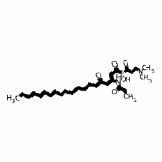 CCCCCCCCCCCCCCCC(=O)CC(CC(=O)P(O)C(=O)CCN(C)C)NC(=O)CC